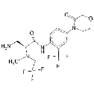 CN(CC(F)(F)F)[C@@H](CN)C(=O)Nc1ccc(N2CCOCC2=O)cc1C(F)(F)F